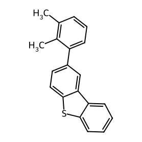 Cc1cccc(-c2ccc3sc4ccccc4c3c2)c1C